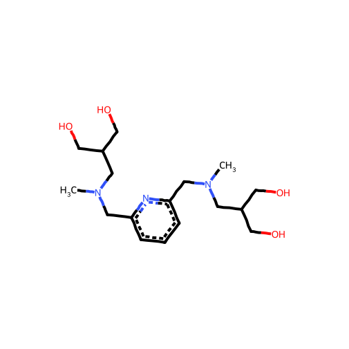 CN(Cc1cccc(CN(C)CC(CO)CO)n1)CC(CO)CO